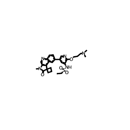 CCS(=O)(=O)Nc1cc(-c2ccc3ncc4c(c3c2)C2(CCC2)C(=O)N4C)cnc1OCCCN(C)C